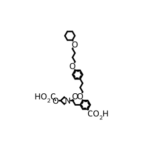 O=C(O)OC1CN(C(=O)Cc2cc(C(=O)O)ccc2OCCCc2ccc(OCCCCOC3CCCCC3)cc2)C1